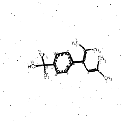 CC(C)=CC(=C(C)C)c1ccc(C(O)(C(F)(F)F)C(F)(F)F)cc1